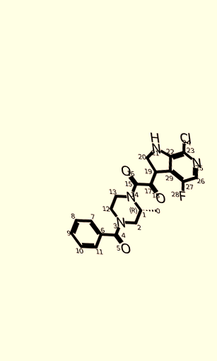 C[C@@H]1CN(C(=O)c2ccccc2)CCN1C(=O)C(=O)C1CNc2c(Cl)ncc(F)c21